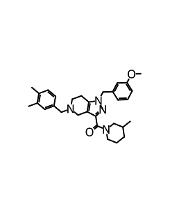 COc1cccc(Cn2nc(C(=O)N3CCCC(C)C3)c3c2CCN(Cc2ccc(C)c(C)c2)C3)c1